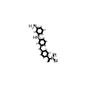 C=C(c1ccc(Cc2cccc(Nc3cccc(N)c3)c2)cc1)N(CC)CC